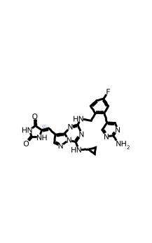 Nc1ncc(-c2cc(F)ccc2CNc2nc(NC3CC3)n3ncc(/C=C4\NC(=O)NC4=O)c3n2)cn1